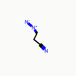 N#CCC=[N+]=[N-]